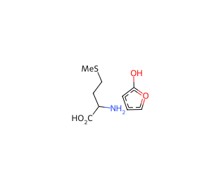 CSCCC(N)C(=O)O.Oc1ccco1